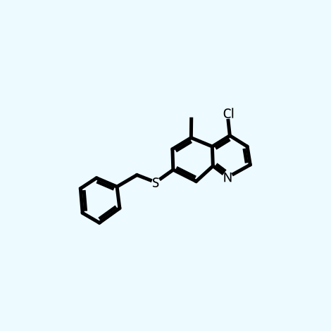 Cc1cc(SCc2ccccc2)cc2nccc(Cl)c12